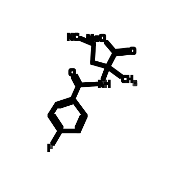 COC(=O)C(C)(CCC#N)NC(=O)c1ccc(F)cc1